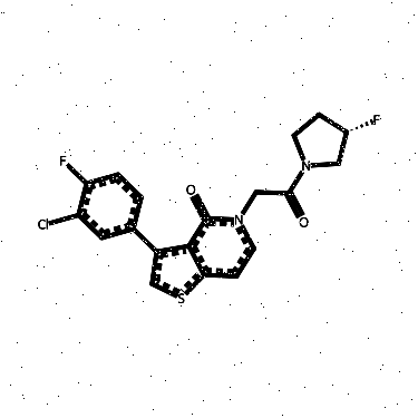 O=C(Cn1ccc2scc(-c3ccc(F)c(Cl)c3)c2c1=O)N1CC[C@H](F)C1